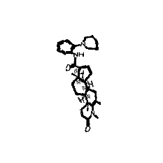 CC1=C2N(C)C(=O)CC[C@]2(C)[C@H]2CC[C@]3(C)[C@@H](C(=O)Nc4ccccc4N4CCCCC4)CC[C@H]3[C@@H]2C1